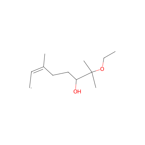 [CH2]C=C(C)CCC(O)C(C)(C)OCC